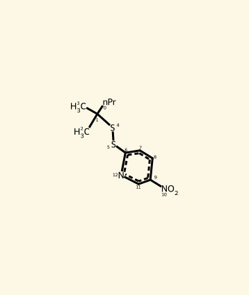 CCCC(C)(C)SSc1ccc([N+](=O)[O-])cn1